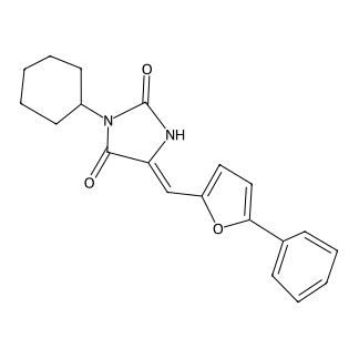 O=C1N/C(=C\c2ccc(-c3ccccc3)o2)C(=O)N1C1CCCCC1